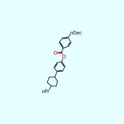 CCCCCCCCCCc1ccc(C(=O)Oc2ccc(C3CCC(CCC)CC3)cc2)cc1